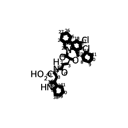 O=C(CC[C@@H]1O[C@@H](c2ccccc2Cl)c2cc(Cl)ccc2N(Cc2ccccc2)C1=O)N[C@H](Cc1c[nH]c2ccccc12)C(=O)O